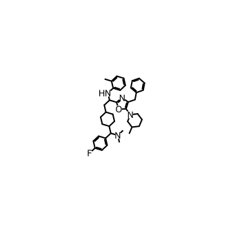 Cc1ccccc1NC(CC1CCC(C(c2ccc(F)cc2)N(C)C)CC1)c1nc(Cc2ccccc2)c(N2CCCC(C)C2)o1